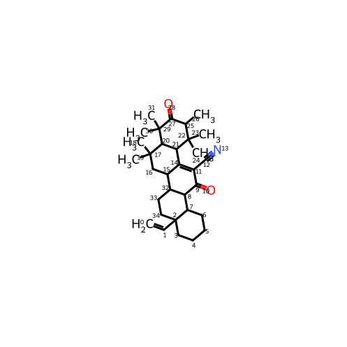 C=CC12CCCCC1C1C(=O)C(C#N)=C3C(CC(C)(C)C4C3C(C)(C)C(C)C(=O)C4(C)C)C1CC2